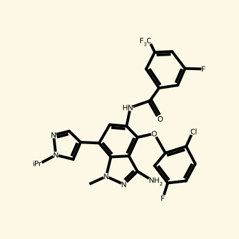 CC(C)n1cc(-c2cc(NC(=O)c3cc(F)cc(C(F)(F)F)c3)c(Oc3cc(F)ccc3Cl)c3c(N)nn(C)c23)cn1